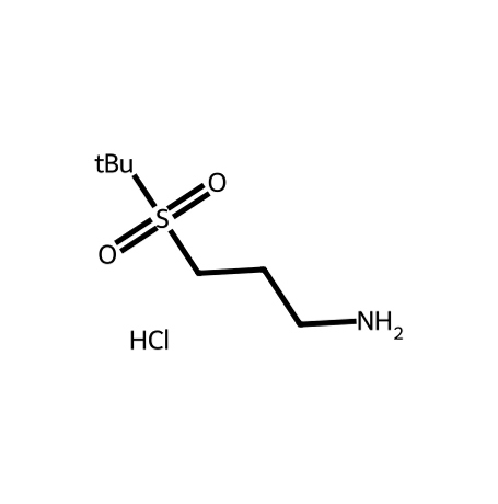 CC(C)(C)S(=O)(=O)CCCN.Cl